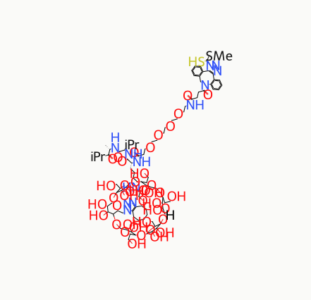 CSC(S)n1nnc2c1-c1ccccc1CN(C(=O)CCC(=O)NCCOCCOCCOCCOCCC(=O)N[C@H](CCCCNC(=O)COC1CCCCCc3c1nnn3CC1OC3OC4C(CO)OC(OC5C(CO)OC(OC6C(CO)O[C@@H](OC7C(CO)OC(OC8C(CO)OC(OC1C(O)C3O)C(O)C8O)C(O)C7O)C(O)C6O)C(O)C5O)C(O)C4O)C(=O)N[C@H](C(=O)N[C@@H](C)C(=O)C(C)C)C(C)C)c1ccccc1-2